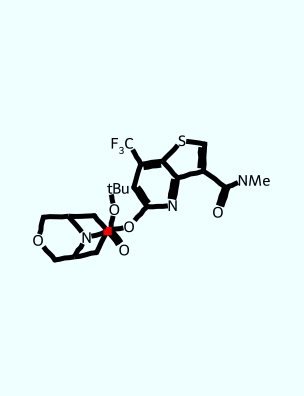 CNC(=O)c1csc2c(C(F)(F)F)cc(OC3CC4COCC(C3)N4C(=O)OC(C)(C)C)nc12